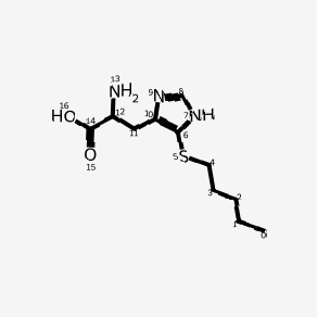 CCCCCSc1[nH]cnc1CC(N)C(=O)O